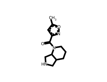 Cc1cc(C(=O)N2CCCC3CNCC32)no1